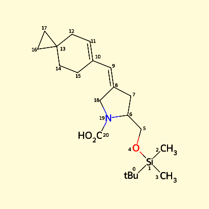 CC(C)(C)[Si](C)(C)OCC1CC(=CC2=CCC3(CC2)CC3)CN1C(=O)O